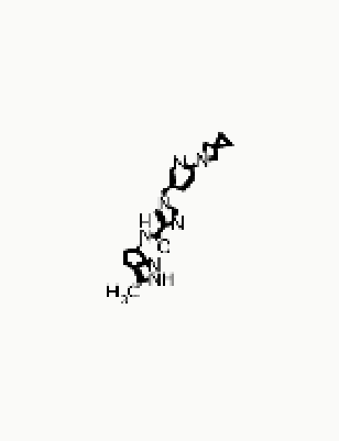 Cc1[nH]nc2c1CC[C@H]2NC(=O)c1cn(Cc2ccc(N3CC4(CC4)C3)nc2)cn1